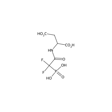 O=C(O)CC(NC(=O)C(F)(F)P(=O)(O)O)C(=O)O